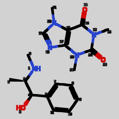 CN[C@@H](C)[C@H](O)c1ccccc1.Cn1c(=O)c2c(ncn2C)n(C)c1=O